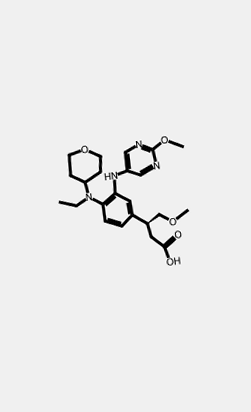 CCN(c1ccc([C@@H](COC)CC(=O)O)cc1Nc1cnc(OC)nc1)C1CCOCC1